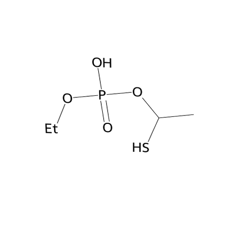 CCOP(=O)(O)OC(C)S